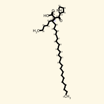 CCCCCCCCCCCCCCCCCCCCCC/C(CCCCC)=C(/C(=O)O)C(=O)C1CCCN1